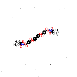 CC1=C(C)C(=O)N(COC(=O)c2ccc(C(=O)Oc3ccc(-c4ccc(OC(=O)c5ccc(C(=O)OCN6C(=O)C(C)=C(C)C6=O)cc5)cc4)cc3)cc2)C1=O